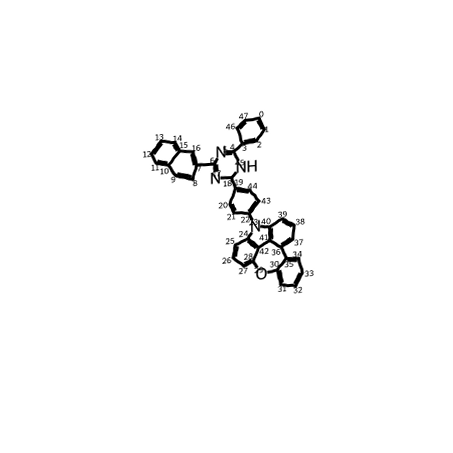 c1ccc(C2=NC(c3ccc4ccccc4c3)=NC(c3ccc(-n4c5cccc6oc7ccccc7c7cccc4c7c65)cc3)N2)cc1